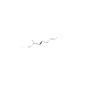 CCCCC=CC([O])CC